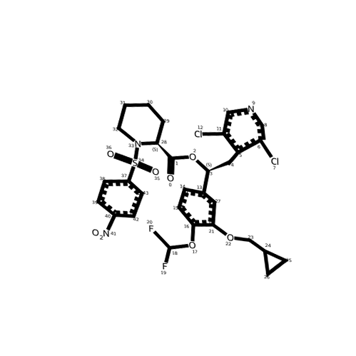 O=C(O[C@@H](Cc1c(Cl)cncc1Cl)c1ccc(OC(F)F)c(OCC2CC2)c1)[C@@H]1CCCCN1S(=O)(=O)c1ccc([N+](=O)[O-])cc1